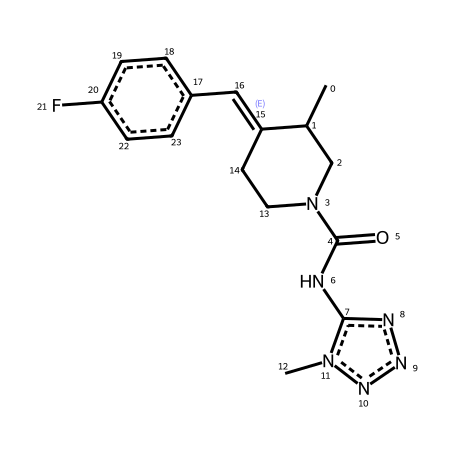 CC1CN(C(=O)Nc2nnnn2C)CC/C1=C\c1ccc(F)cc1